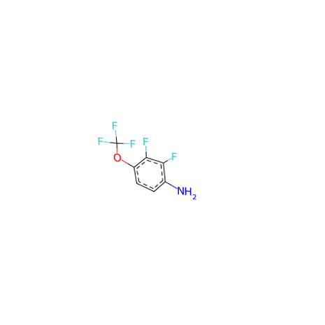 Nc1ccc(OC(F)(F)F)c(F)c1F